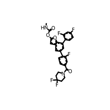 CNC(=O)Oc1cc2cc(-c3ccc(C(=O)N4CCC(F)(F)CC4)cc3F)cc(-c3ccc(F)cc3F)c2o1